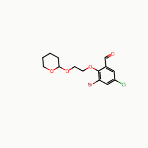 O=Cc1cc(Cl)cc(Br)c1OCCOC1CCCCO1